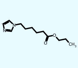 CCCOC(=O)CCCCCn1c[c]nc1